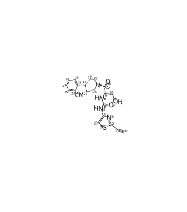 C#Cc1nc(NC(=O)NC(CO)C(=O)N2CCC(c3ccccc3C#N)CC2)cs1